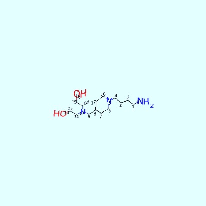 NCCCCN1CCC(CN(CCO)CCO)CC1